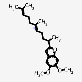 COc1cc2cc(C(C)CC/C=C(\C)CCC=C(C)C)oc2cc1OC